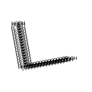 CC(=O)O.CC(=O)O.CC(=O)O.CC(=O)O.CC(=O)O.CC(=O)O.CC(=O)O.CC(=O)O.CC(=O)O.CC(=O)O.CC(=O)O.CC(=O)O.CC(=O)O.CC(=O)O.CC(=O)O.CC(=O)O.CC(=O)O.CC(=O)O.CC(=O)O.CC(=O)O.CC(=O)O.CC(=O)O.CC(=O)O.CC(=O)O.CC(=O)O.CC(=O)O.CC(=O)O.CC(=O)O.CC(=O)O.CC(=O)O.OCCO.OCCO.OCCO